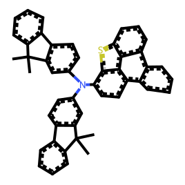 CC1(C)c2ccccc2-c2ccc(N(c3ccc4c(c3)C(C)(C)c3ccccc3-4)c3ccc4c5ccccc5c5cccc6sc3c4c65)cc21